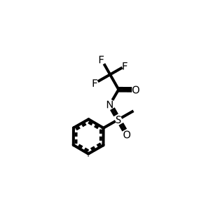 CS(=O)(=NC(=O)C(F)(F)F)c1c[c]ccc1